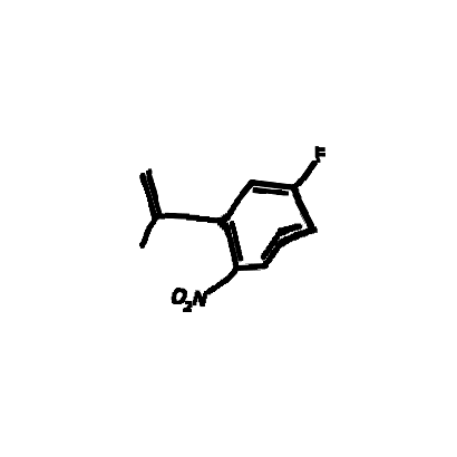 C=C(C)c1cc(F)ccc1[N+](=O)[O-]